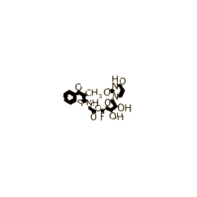 CC(C(=O)c1ccccc1)C(=S)NCC(=O)OC(F)[C@H]1O[C@@H](n2ccc(=O)[nH]c2=O)[C@H](O)[C@@H]1O